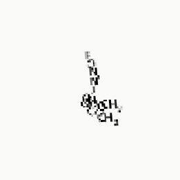 COc1cccc2c1C(OC)CN(CCCCN1CCN(c3ccc(F)cc3)CC1)S2(=O)=O